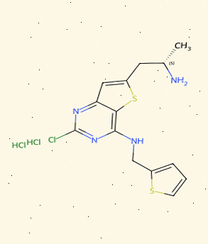 C[C@H](N)Cc1cc2nc(Cl)nc(NCc3cccs3)c2s1.Cl.Cl